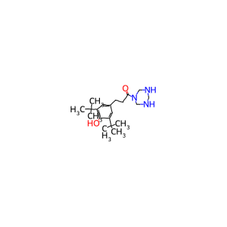 CC(C)(C)c1cc(CCC(=O)N2CNCNC2)cc(C(C)(C)C)c1O